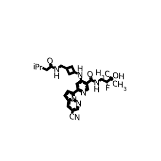 CC(C)CC(=O)NCC1CC(Nc2cc(-c3ccc4cc(C#N)cnn34)ncc2C(=O)NC[C@@H](F)C(C)(C)O)C1